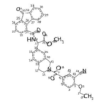 CCOc1ccc(S(=O)(=O)N2CCc3ccc(C(NC(=O)c4cccc5c4-c4ccccc4C5=O)C(=O)OC)cc3C2)cc1C#N